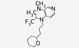 C=Nc1cnccc1N(CCCC1CCCCO1)C(C)C(F)(F)F